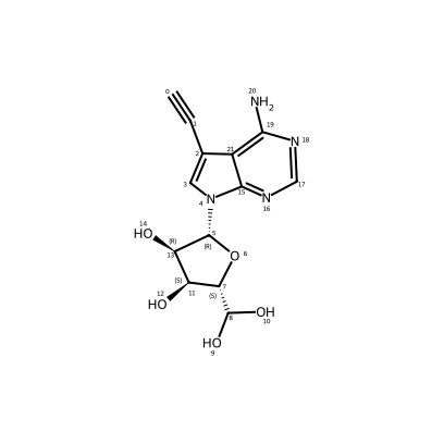 C#Cc1cn([C@@H]2O[C@H](C(O)O)[C@@H](O)[C@H]2O)c2ncnc(N)c12